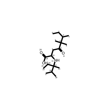 CCC(C)C(C)(C)C(=O)CC(NC(C)(CC)C(C)C)C(=O)O